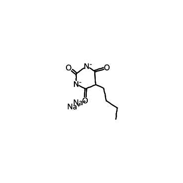 CCCCC1C(=O)[N-]C(=O)[N-]C1=O.[Na+].[Na+]